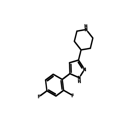 Fc1ccc(-c2cc(C3CCNCC3)n[nH]2)c(F)c1